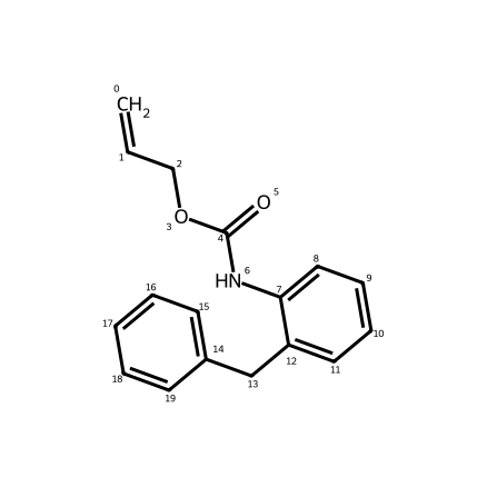 C=CCOC(=O)Nc1ccccc1Cc1ccccc1